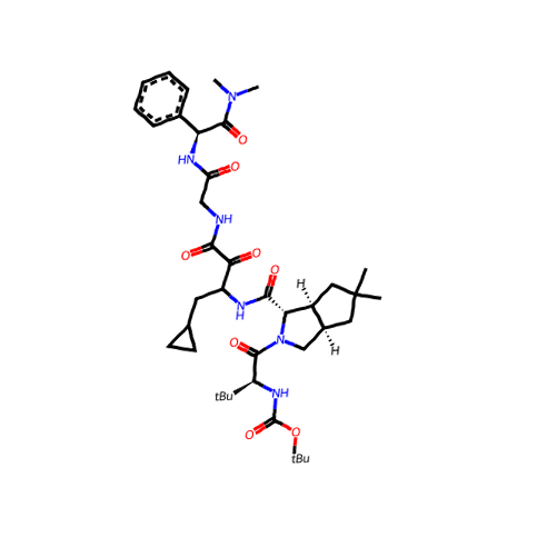 CN(C)C(=O)[C@@H](NC(=O)CNC(=O)C(=O)C(CC1CC1)NC(=O)[C@@H]1[C@H]2CC(C)(C)C[C@H]2CN1C(=O)[C@@H](NC(=O)OC(C)(C)C)C(C)(C)C)c1ccccc1